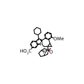 COc1cccc2c1C1CC1(C(=O)N1C3CCC1CN(C)C3)Cn1c-2c(C2CCCCC2)c2ccc(C(=O)O)cc21